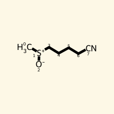 C[S+]([O-])CCCCC#N